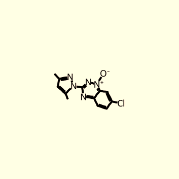 Cc1cc(C)n(-c2nc3ccc(Cl)cc3[n+]([O-])n2)n1